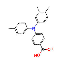 Cc1ccc(N(c2ccc(B(O)O)cc2)c2ccc(C)c(C)c2)cc1